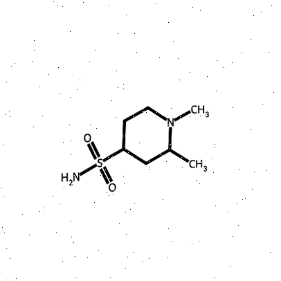 CC1CC(S(N)(=O)=O)CCN1C